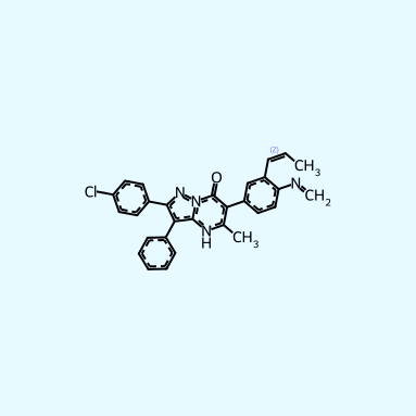 C=Nc1ccc(-c2c(C)[nH]c3c(-c4ccccc4)c(-c4ccc(Cl)cc4)nn3c2=O)cc1/C=C\C